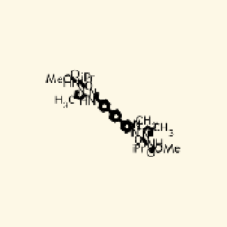 COC(=O)N[C@H](C(=O)N1C[C@@H](C)C[C@H]1c1ncc(-c2ccc(-c3ccc(-c4ccc5nc([C@@H]6C[C@H](C)CN6C(=O)[C@@H](NC(=O)OC)C(C)C)n(C)c5c4)cc3)cc2)[nH]1)C(C)C